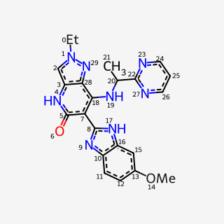 CCn1cc2[nH]c(=O)c(-c3nc4ccc(OC)cc4[nH]3)c(NC(C)c3ncccn3)c2n1